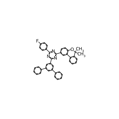 CC1(C)Oc2ccc(-c3nc(-c4ccc(F)cc4)nc(-c4cc(-c5ccccc5)cc(-c5ccccc5)c4)n3)cc2-c2ccccc21